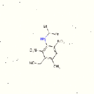 CCC(CC)Nc1c([N+](=O)[O-])cc(C)c(CC#N)c1[N+](=O)[O-]